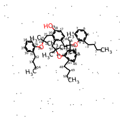 CCCCc1ccccc1OC(C)(C)Cc1ccc(O)c(CC(C)(C)Oc2ccccc2CCCC)c1CC(C)(C)Oc1ccccc1CCCC